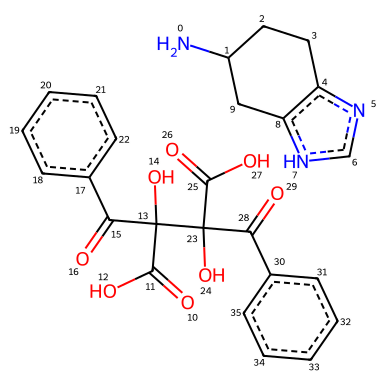 NC1CCc2nc[nH]c2C1.O=C(O)C(O)(C(=O)c1ccccc1)C(O)(C(=O)O)C(=O)c1ccccc1